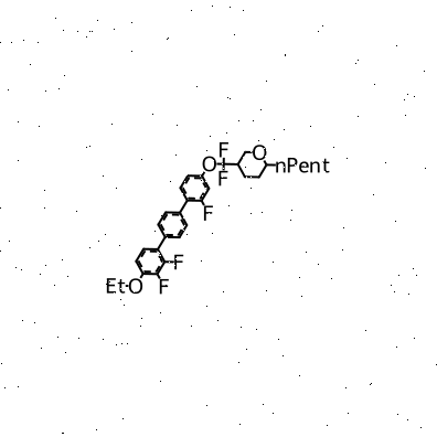 CCCCCC1CCC(C(F)(F)Oc2ccc(-c3ccc(-c4ccc(OCC)c(F)c4F)cc3)c(F)c2)CO1